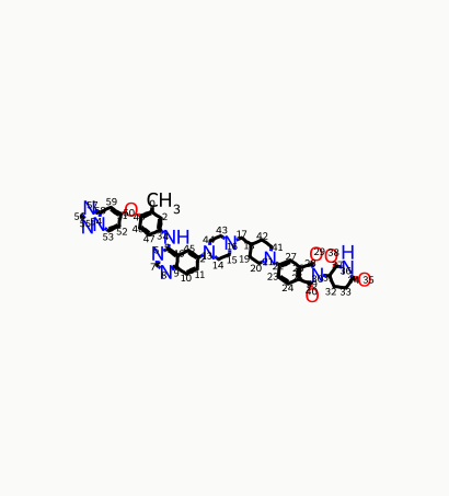 Cc1cc(Nc2ncnc3ccc(N4CCN(CC5CCN(c6ccc7c(c6)C(=O)N(C6CCC(=O)NC6=O)C7=O)CC5)CC4)cc23)ccc1Oc1ccn2ncnc2c1